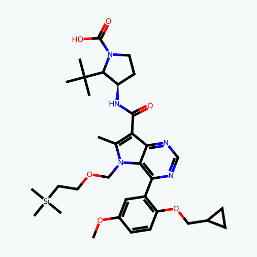 COc1ccc(OCC2CC2)c(-c2ncnc3c(C(=O)N[C@@H]4CCN(C(=O)O)C4C(C)(C)C)c(C)n(COCC[Si](C)(C)C)c23)c1